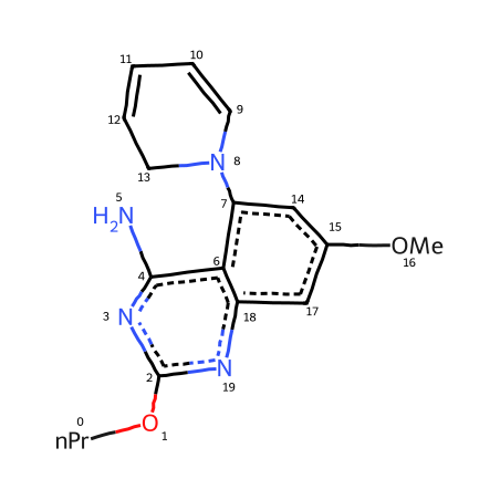 CCCOc1nc(N)c2c(N3C=CC=CC3)cc(OC)cc2n1